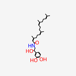 CC(C)=CCCC(C)=CCCC(C)=CCCC(C)=CC(=O)NCC(O)c1ccc(O)c(O)c1